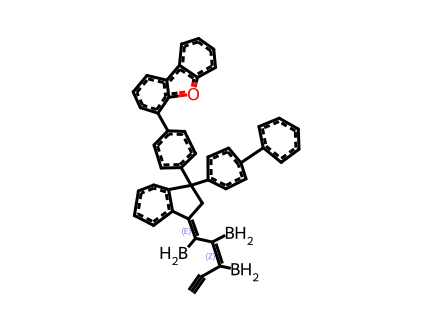 B/C(C#C)=C(B)/C(B)=C1\CC(c2ccc(-c3ccccc3)cc2)(c2ccc(-c3cccc4c3oc3ccccc34)cc2)c2ccccc21